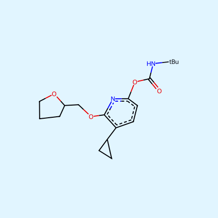 CC(C)(C)NC(=O)Oc1ccc(C2CC2)c(OCC2CCCO2)n1